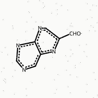 O=[C]c1cnc2ncncc2n1